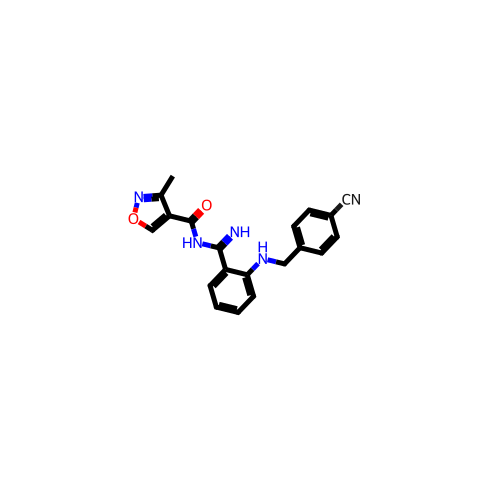 Cc1nocc1C(=O)NC(=N)c1ccccc1NCc1ccc(C#N)cc1